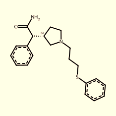 NC(=O)C(c1ccccc1)[C@@H]1CCN(CCCSc2ccccc2)C1